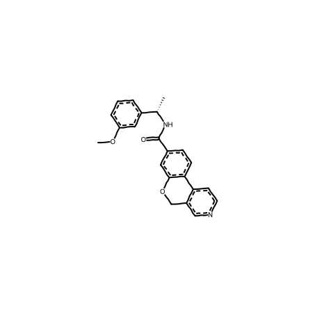 COc1cccc([C@H](C)NC(=O)c2ccc3c(c2)OCc2cnccc2-3)c1